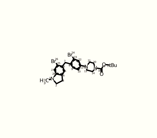 CN1CCc2cc(Cc3ccc(N4CCN(C(=O)OC(C)(C)C)CC4)cc3Br)c(Br)cc21